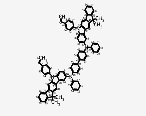 C=Cc1ccc(-n2c3ccc(N(C4=CC=CCC4)c4ccc(-c5ccc(N(c6ccccc6)c6ccc7c(c6)c6cc8c(cc6n7-c6ccc(C=C)cc6)-c6ccccc6C8(C)C)cc5)cc4)cc3c3cc4c(cc32)-c2ccccc2C4(C)C)cc1